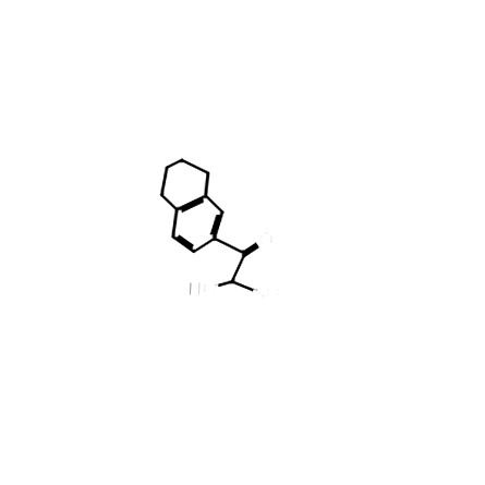 O=C(c1ccc2c(c1)CCCC2)C(O)S(=O)(=O)O